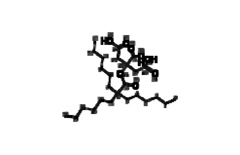 CCCCCCC(CCCCCC)(CCCCCC)C(=O)OC(CC(=O)O)(CC(=O)O)C(=O)O